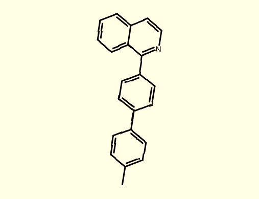 Cc1ccc(-c2ccc(-c3nccc4ccccc34)cc2)cc1